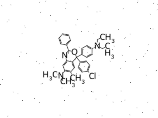 CCN(CC)c1ccc(C2(c3ccc(Cl)cc3)OC(c3ccccc3)=Nc3cc(N(C)C)c(C)cc32)cc1